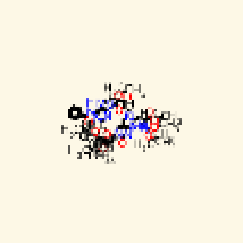 CC(C)(C)OC(=O)N[C@@H](CCN(Cc1cn([C@H]2C[C@H](O[Si](C)(C)C(C)(C)C)[C@@H](CO[Si](C)(C)C(C)(C)C)O2)c(=O)nc1N)C[C@H]1O[C@@H](n2cnc3c(NC(=O)c4ccccc4)ncnc32)[C@@H]2OC(C)(C)O[C@@H]21)C(=O)OC(C)(C)C